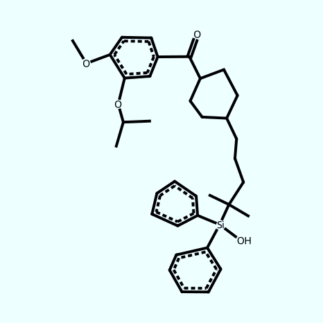 COc1ccc(C(=O)C2CCC(CCCC(C)(C)[Si](O)(c3ccccc3)c3ccccc3)CC2)cc1OC(C)C